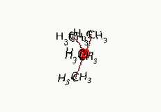 CC(C)CCCCCCCCCCCCCCC[O][Zr](=[O])([CH2]CCCCCCCCCCCCCCC(C)C)([CH2]CCCCCCCCCCCCCCC(C)C)[O]C(C)C